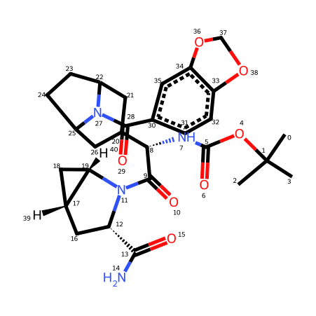 CC(C)(C)OC(=O)N[C@H](C(=O)N1[C@H](C(N)=O)C[C@@H]2C[C@@H]21)C1CC2CCC(C1)N2C(=O)c1ccc2c(c1)OCO2